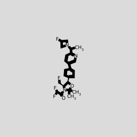 CC(c1ccc(-c2ccc([C@H]3OC(C)(C)N(C(=O)C(F)F)[C@H]3CF)cc2)cn1)N1CC(F)C1